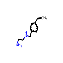 C=Cc1ccc(CNCCN)cc1